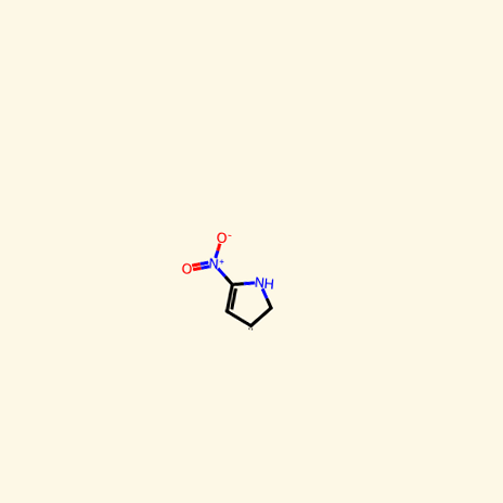 O=[N+]([O-])C1=C[C]CN1